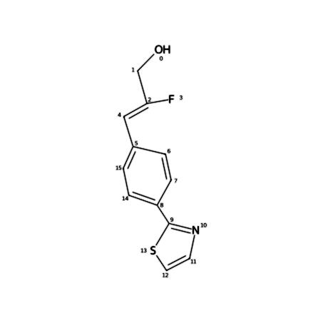 OCC(F)=Cc1ccc(-c2nccs2)cc1